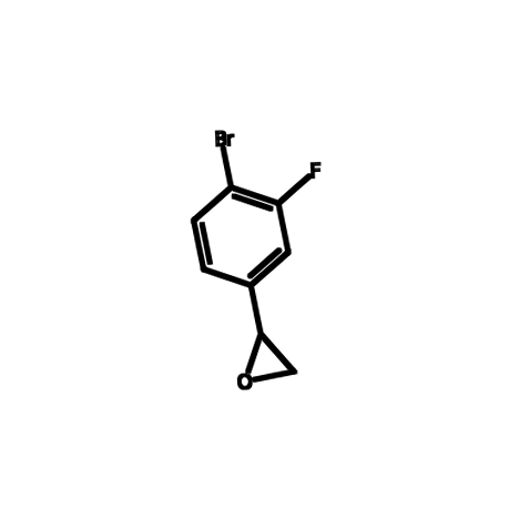 Fc1cc(C2CO2)ccc1Br